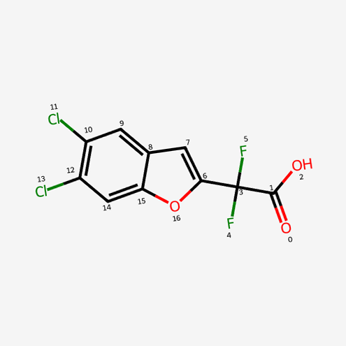 O=C(O)C(F)(F)c1cc2cc(Cl)c(Cl)cc2o1